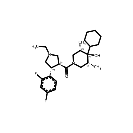 CCN1C[C@@H](C(=O)N2C[C@@H](C)[C@@](O)(C3CCCCC3)[C@@H](C)C2)[C@H](c2ccc(F)cc2F)C1